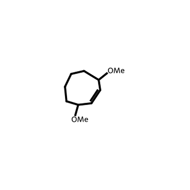 COC1/C=C\C(OC)CCCC1